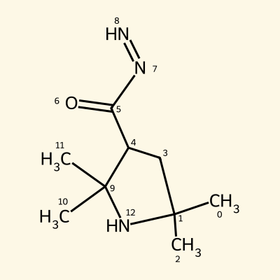 CC1(C)CC(C(=O)N=N)C(C)(C)N1